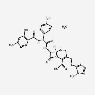 Cc1cc(O)c(C(=O)NC(C(=O)N[C@@H]2C(=O)N3C(C(=O)O)=C(CSc4nnnn4C)CS[C@H]23)c2ccc(O)cc2)cn1.O